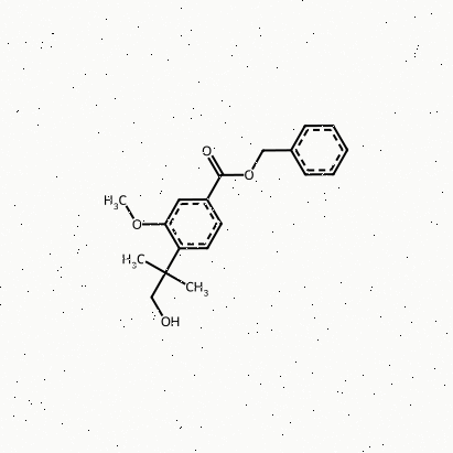 COc1cc(C(=O)OCc2ccccc2)ccc1C(C)(C)CO